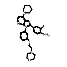 Nc1ccc(-c2nc3c(N4CCCCC4)ccnc3n2-c2cccc(OCCN3CCOCC3)c2)cc1F